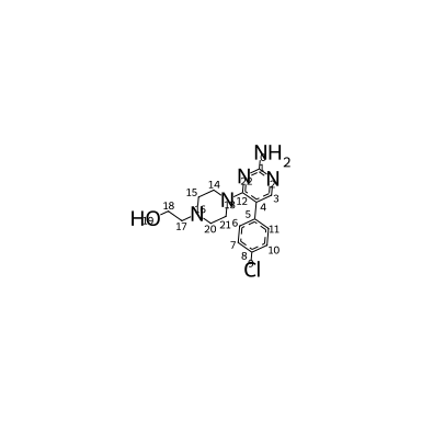 Nc1ncc(-c2ccc(Cl)cc2)c(N2CCN(CCO)CC2)n1